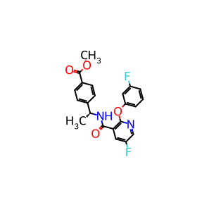 COC(=O)c1ccc([C@H](C)NC(=O)c2cc(F)cnc2Oc2cccc(F)c2)cc1